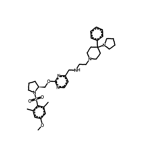 COc1cc(C)c(S(=O)(=O)N2CCC[C@H]2COc2nccc(CNCCN3CCC(c4ccccc4)(N4CCCC4)CC3)n2)c(C)c1